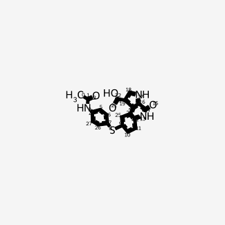 CC(=O)Nc1ccc(Sc2ccc3[nH]c(=O)c4[nH]cc(C(=O)O)c4c3c2)cc1